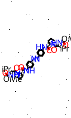 COC(=O)N[C@H](C(=O)N1CCC[C@H]1C(=O)Nc1ccc(/N=N/c2ccc(NC(=O)[C@@H]3CCCN3C(=O)[C@@H](NC(=O)OC)C(C)C)cc2)cc1)C(C)C